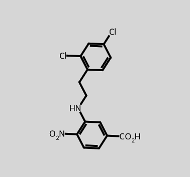 O=C(O)c1ccc([N+](=O)[O-])c(NCCc2ccc(Cl)cc2Cl)c1